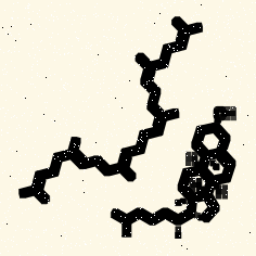 CC(C)=CCCC(C)=CCCC(C)=CCCC=C(C)CCC=C(C)CCC=C(C)C.CC(C)CCC[C@@H](C)[C@H]1CC[C@H]2[C@@H]3CC=C4C[C@@H](O)CC[C@]4(C)[C@H]3CC[C@]12C